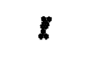 C1=CC2=C(N(c3ccccc3)c3ccccc3)C=CC3=CC=C4C(c5ccc(N(c6ccccc6)c6ccccc6)cc5)=CC=C1C4C32